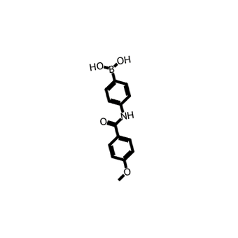 COc1ccc(C(=O)Nc2ccc(B(O)O)cc2)cc1